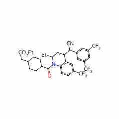 CCOC(=O)CC1CCC(C(=O)N2c3ccc(C(F)(F)F)cc3C(C(C#N)c3cc(C(F)(F)F)cc(C(F)(F)F)c3)CC2CC)CC1